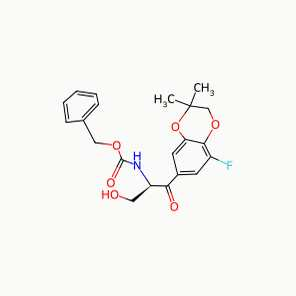 CC1(C)COc2c(F)cc(C(=O)[C@@H](CO)NC(=O)OCc3ccccc3)cc2O1